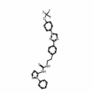 FC(F)(F)Oc1ccc(-n2cnc(-c3ccc(CCNC(=S)Nc4ccnn4-c4ccccc4)cc3)n2)cc1